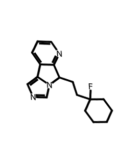 FC1(CCC2c3ncccc3-c3cncn32)CCCCC1